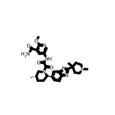 COc1ncc(NC(=O)C(=O)N2C[C@@H](C)CC[C@@H]2c2ccc3sc(C4(C)CCN(C)CC4)nc3c2)cc1C(N)=O